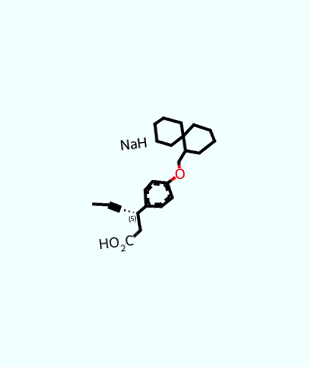 CC#C[C@@H](CC(=O)O)c1ccc(OCC2CCCCC23CCCCC3)cc1.[NaH]